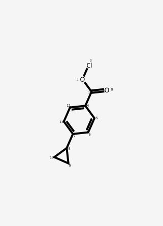 O=C(OCl)c1ccc(C2CC2)cc1